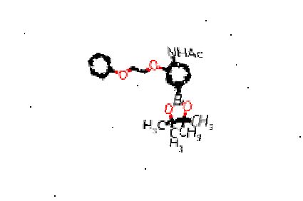 CC(=O)Nc1ccc(B2OC(C)(C)C(C)(C)O2)cc1OCCOc1ccccc1